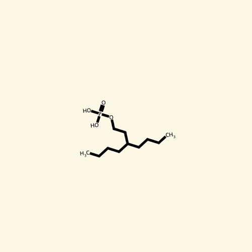 CCCCC(CCCC)CCOP(=O)(O)O